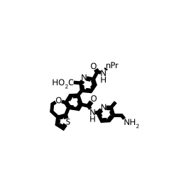 CCCNC(=O)c1ccc(-c2cc3c(cc2C(=O)Nc2ccc(CN)c(C)n2)-c2sccc2CCO3)c(C(=O)O)n1